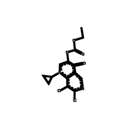 CCOC(=O)Oc1cn(C2CC2)c2c(Cl)c(Cl)ncc2c1=O